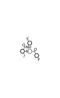 CCc1cccc(C(=O)Nc2cccc(SC)c2)c1N1CCC(C(=O)c2ccc(F)cc2)CC1